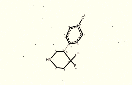 [O-][n+]1ccc([C@H]2CNCCC2(F)F)cc1